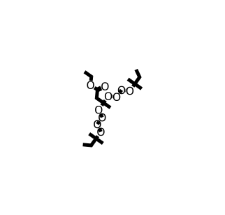 CCOC(=O)CC(C)(OOOOC(C)(C)CC)OOOOC(C)(C)CC